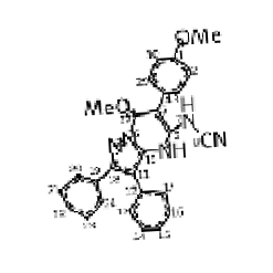 COc1ccc(C2=C(NC#N)Nc3c(-c4ccccc4)c(-c4ccccc4)nn3C2OC)cc1